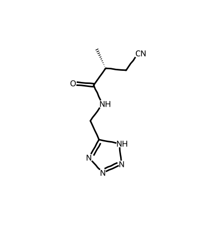 C[C@H](CC#N)C(=O)NCc1nnn[nH]1